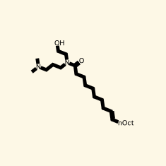 CCCCCCCCC=CCCCCCCCC(=O)N(CCO)CCCN(C)C